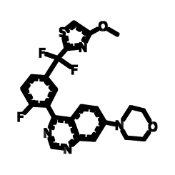 COc1csc(C(F)(F)c2ccc(F)c(-c3ncnc4cc(N5CCOCC5)ccc34)c2)n1